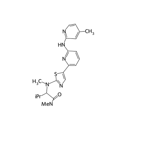 CNC(=O)C(C(C)C)N(C)c1ncc(-c2cccc(Nc3cc(C)ccn3)n2)s1